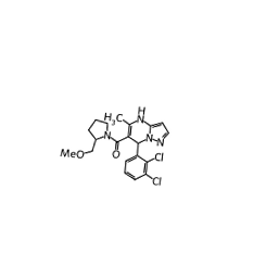 COCC1CCCN1C(=O)C1=C(C)Nc2ccnn2C1c1cccc(Cl)c1Cl